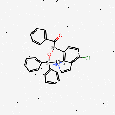 C[Si](O[C@H](C(=O)c1ccccc1)c1ccc(Cl)c2cc[nH]c12)(c1ccccc1)c1ccccc1